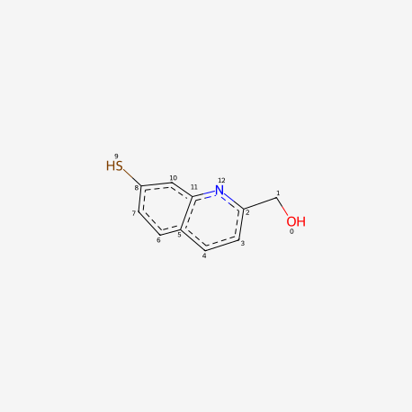 OCc1ccc2ccc(S)cc2n1